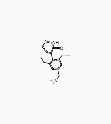 CCc1cc(CN)cc(CC)c1-c1ccn[nH]c1=O